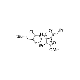 COC(=O)[C@@H](C(C)C)[C@](C)(N[S@@+]([O-])CC(C)C)c1ccc(CCC(C)(C)C)c(Cl)c1